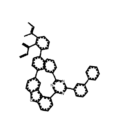 C=CC(=C)c1c(/C(C)=C/C)cccc1-c1ccc(-c2ccc3oc4cccc(-c5nc(-c6ccccc6)nc(-c6cccc(-c7ccccc7)c6)n5)c4c3c2)cc1